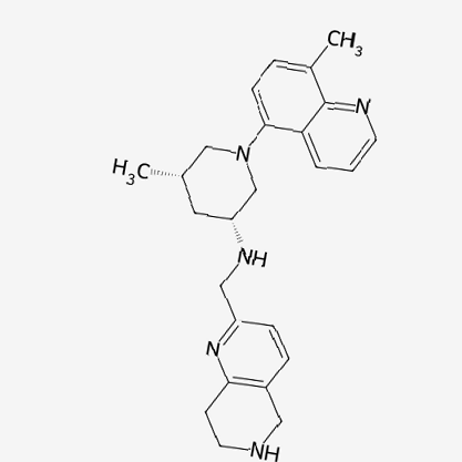 Cc1ccc(N2C[C@@H](C)C[C@@H](NCc3ccc4c(n3)CCNC4)C2)c2cccnc12